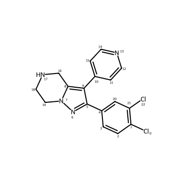 Clc1ccc(-c2nn3c(c2-c2ccncc2)CNCC3)cc1Cl